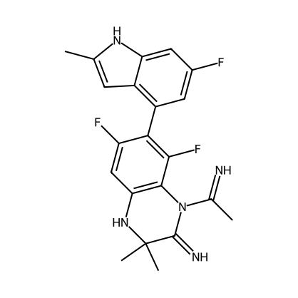 CC(=N)N1C(=N)C(C)(C)Nc2cc(F)c(-c3cc(F)cc4[nH]c(C)cc34)c(F)c21